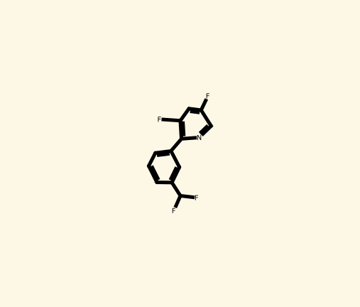 Fc1cnc(-c2cc[c]c(C(F)F)c2)c(F)c1